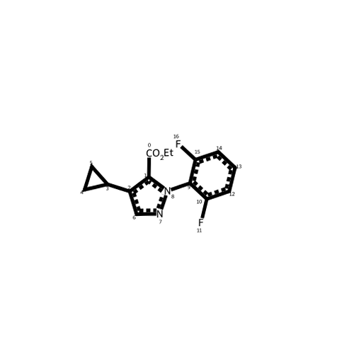 CCOC(=O)c1c(C2CC2)cnn1-c1c(F)cccc1F